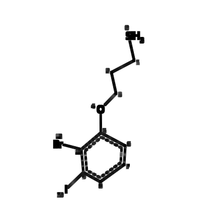 [SiH3]CCCOc1cccc(I)c1Br